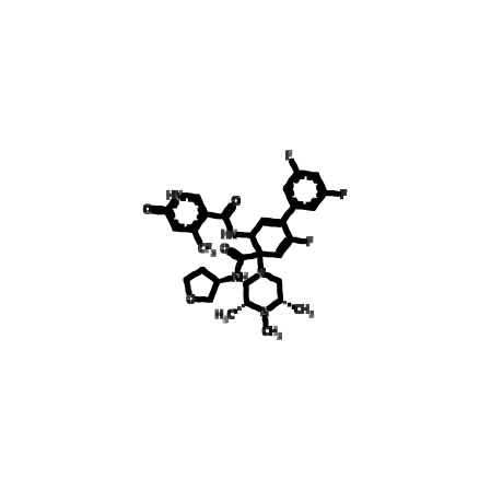 C[C@@H]1CN(C2(C(=O)N[C@@H]3CCOC3)C=C(F)C(c3cc(F)cc(F)c3)=CC2NC(=O)c2c[nH]c(=O)cc2C(F)(F)F)C[C@H](C)N1C